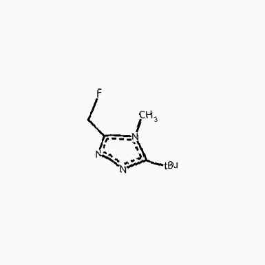 Cn1c(CF)nnc1C(C)(C)C